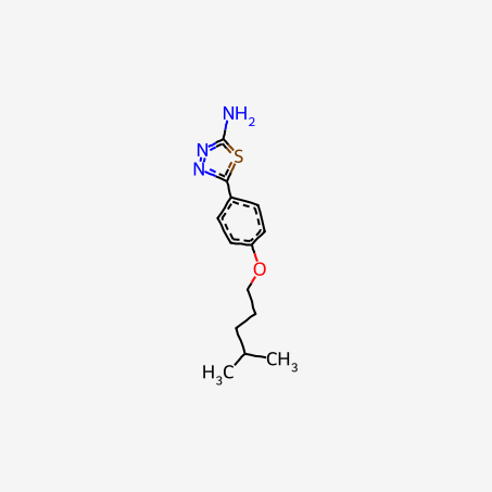 CC(C)CCCOc1ccc(-c2nnc(N)s2)cc1